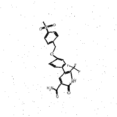 CS(=O)(=O)c1ccc(COc2ccc(-c3cc(C(N)=O)c(=O)[nH]c3C(F)(F)F)cc2)cc1